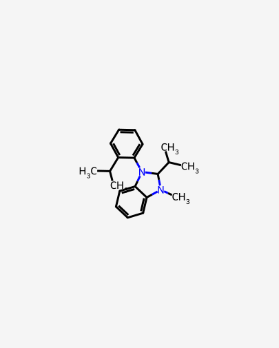 CC(C)c1ccccc1N1c2ccccc2N(C)C1C(C)C